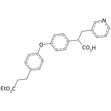 CCOC(=O)CCc1ccc(Oc2ccc(C(Cc3cccnc3)C(=O)O)cc2)cc1